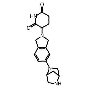 O=C1CCC(N2Cc3ccc(N4CC5CC4CN5)cc3C2)C(=O)N1